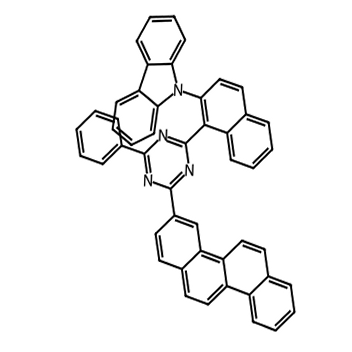 c1ccc(-c2nc(-c3ccc4ccc5c6ccccc6ccc5c4c3)nc(-c3c(-n4c5ccccc5c5ccccc54)ccc4ccccc34)n2)cc1